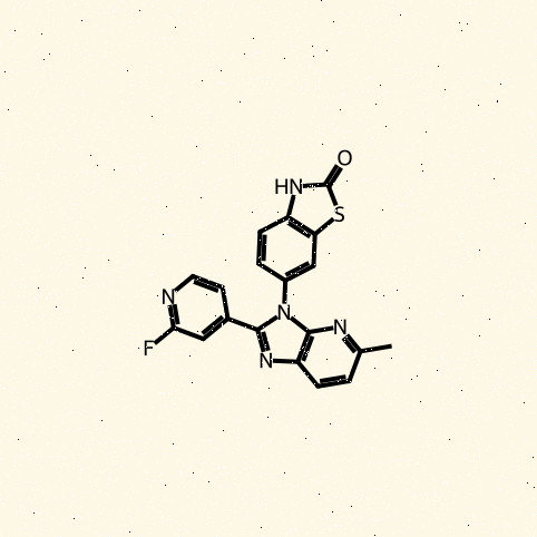 Cc1ccc2nc(-c3ccnc(F)c3)n(-c3ccc4[nH]c(=O)sc4c3)c2n1